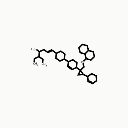 CCC(CN)C(C)C/C=C/C1CCC(C2C=CC(C3(CNC4CCCC5CCCCC54)CC3C3C=CCCC3)CC2)CC1